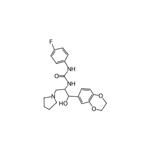 O=C(Nc1ccc(F)cc1)NC(CN1CCCC1)C(O)c1ccc2c(c1)OCCO2